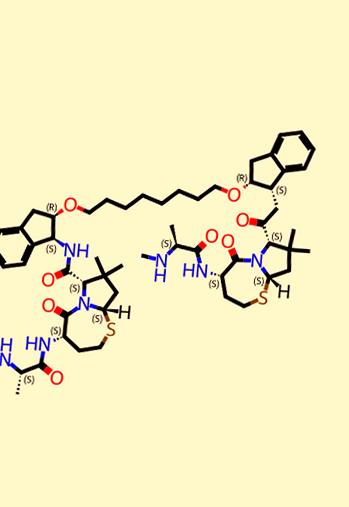 CN[C@@H](C)C(=O)N[C@H]1CCS[C@H]2CC(C)(C)[C@@H](C(=O)C[C@H]3c4ccccc4C[C@H]3OCCCCCCCCO[C@@H]3Cc4ccccc4[C@@H]3NC(=O)[C@H]3N4C(=O)[C@@H](NC(=O)[C@H](C)NC)CCS[C@H]4CC3(C)C)N2C1=O